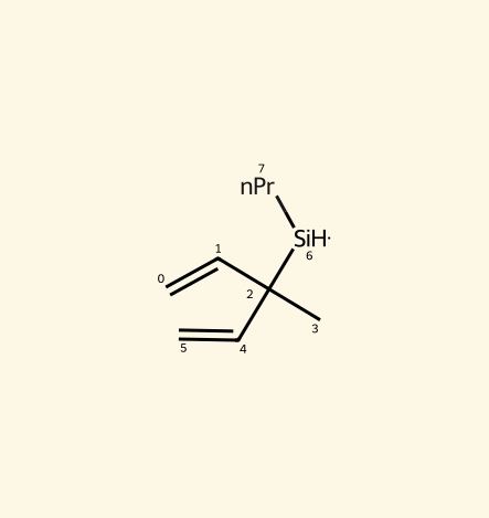 C=CC(C)(C=C)[SiH]CCC